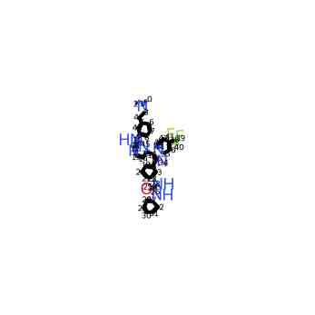 CN(C)CCc1cccc(Nc2nccc(-c3c(-c4cccc(NC(=O)Nc5ccccc5)c4)nc4cc(C(F)(F)F)ccn34)n2)c1